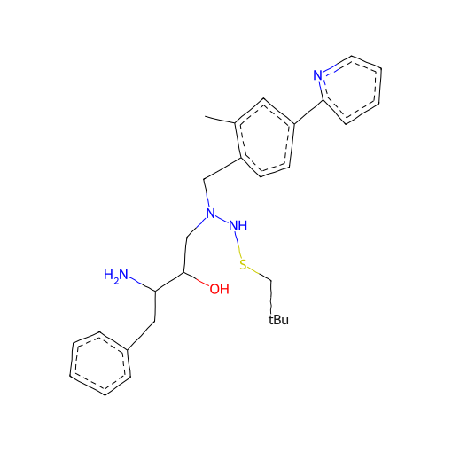 Cc1cc(-c2ccccn2)ccc1CN(CC(O)C(N)Cc1ccccc1)NSCC(C)(C)C